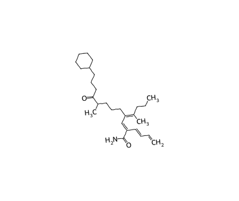 C=C/C=C/C(=C\C(CCCC(C)C(=O)CCCC1CCCCC1)=C(/C)CCC)C(N)=O